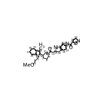 COCCCn1c(C2CCCN(C(=O)C[C@H](N)Cc3ccc(NC(=O)c4ccno4)cc3)C2)c(C)c2ccccc21